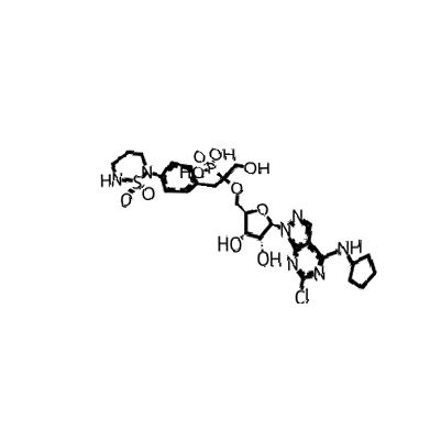 O=P(O)(O)C(CO)(Cc1ccc(N2CCCNS2(=O)=O)cc1)OC[C@H]1O[C@@H](n2ncc3c(NC4CCCC4)nc(Cl)nc32)[C@H](O)[C@@H]1O